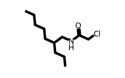 CCCCCC(CCC)CNC(=O)CCl